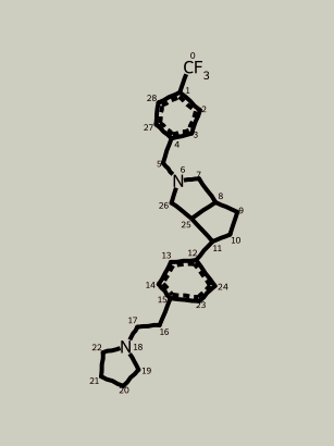 FC(F)(F)c1ccc(CN2CC3CCC(c4ccc(CCN5CCCC5)cc4)C3C2)cc1